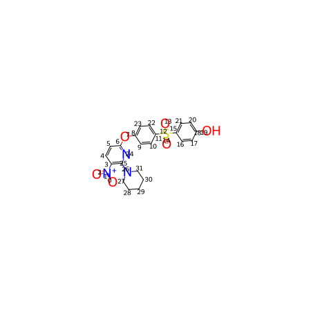 O=[N+]([O-])c1ccc(Oc2ccc(S(=O)(=O)c3ccc(O)cc3)cc2)nc1N1CCCCC1